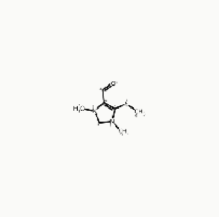 CSC1=C(C=O)N(C)CN1C